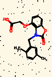 Cc1ccc(C)c(Cn2c(=O)oc3cccc(OCC(=O)O)c32)c1